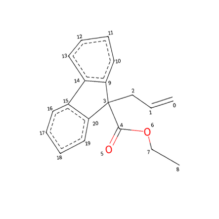 C=CCC1(C(=O)OCC)c2ccccc2-c2ccccc21